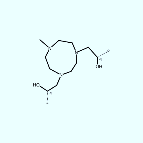 C[C@H](O)CN1CCN(C)CCN(C[C@H](C)O)CC1